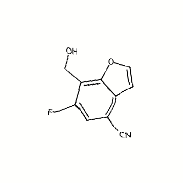 N#Cc1cc(F)c(CO)c2occc12